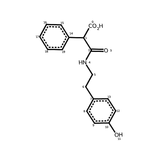 O=C(O)C(C(=O)NCCc1ccc(O)cc1)c1ccccc1